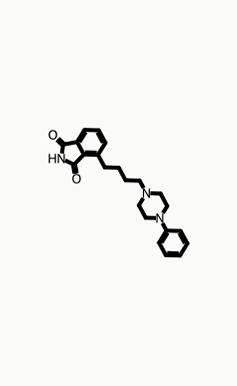 O=C1NC(=O)c2c(CCCCN3CCN(c4ccccc4)CC3)cccc21